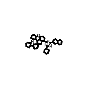 c1ccc(-c2nc(-c3ccc4ccccc4c3)nc(-c3ccc4c5c(cccc35)-c3c(cccc3-n3c5ccccc5c5ccccc53)O4)n2)cc1